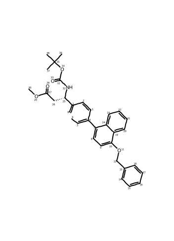 C=C(/C=C\C(=C/C)c1ccc(OCc2ccccc2)c2ccccc12)[C@H](CC(=O)OC)NC(=O)OC(C)(C)C